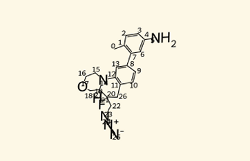 Cc1ccc(N)cc1-c1ccc2c(c1)N1CCOC[C@H]1[C@](F)(CN=[N+]=[N-])C2